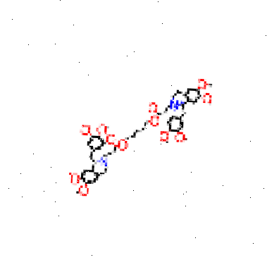 COc1ccc(CC2c3cc(OC)c(OC)cc3CCN2CCC(=O)OCCCCCOC(=O)CC[N+]2(C)CCc3cc(OC)c(OC)cc3C2Cc2ccc(OC)c(OC)c2)cc1OC